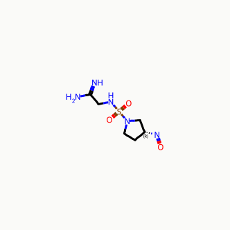 N=C(N)CNS(=O)(=O)N1CC[C@@H](N=O)C1